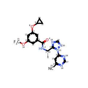 C[C@H](NC(=O)c1cc(OC2CC2)cc(OC(F)(F)F)c1)c1ncnn1-c1cc(C#N)ncn1